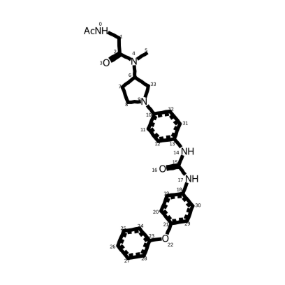 CC(=O)NCC(=O)N(C)C1CCN(c2ccc(NC(=O)Nc3ccc(Oc4ccccc4)cc3)cc2)C1